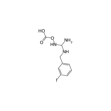 NC(NCc1cccc(I)c1)NOC(=O)O